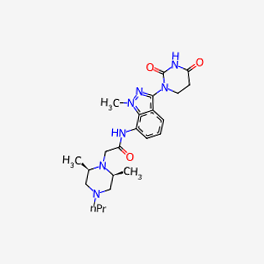 CCCN1C[C@@H](C)N(CC(=O)Nc2cccc3c(N4CCC(=O)NC4=O)nn(C)c23)[C@@H](C)C1